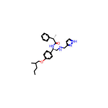 CCCC(C)COc1ccc([C@H](CNCc2cc[nH]n2)NC(=O)[C@@H](C)c2ccccc2)cc1